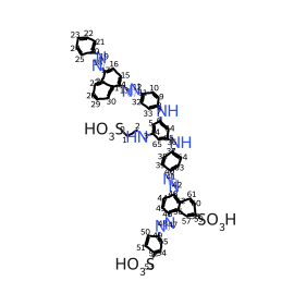 O=S(=O)(O)CCNc1cc(Nc2ccc(/N=N/c3ccc(/N=N/c4ccccc4)c4ccccc34)cc2)cc(Nc2ccc(/N=N/c3ccc(/N=N/c4ccc(S(=O)(=O)O)cc4)c4cc(S(=O)(=O)O)ccc34)cc2)c1